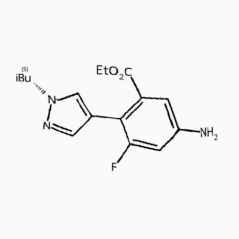 CCOC(=O)c1cc(N)cc(F)c1-c1cnn([C@@H](C)CC)c1